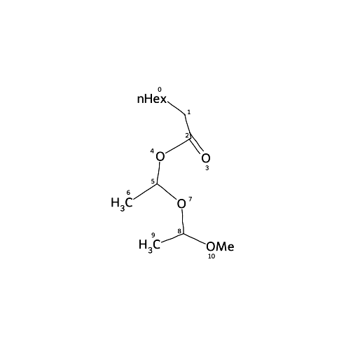 CCCCCCCC(=O)OC(C)OC(C)OC